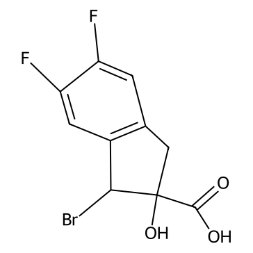 O=C(O)C1(O)Cc2cc(F)c(F)cc2C1Br